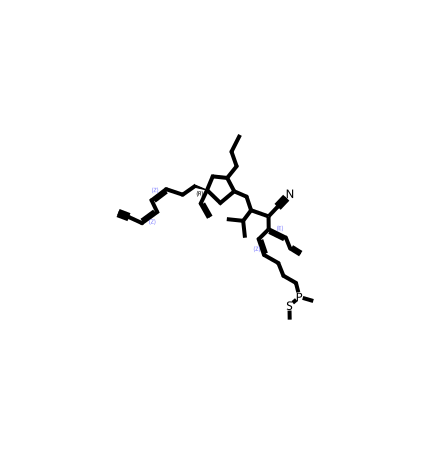 C#C/C=C\C=C/CC[C@@]1(C=C)CC(CCC)C(CC(C(C)C)C(C#N)C(/C=C\CCCP(C)SC)=C/C=C)C1